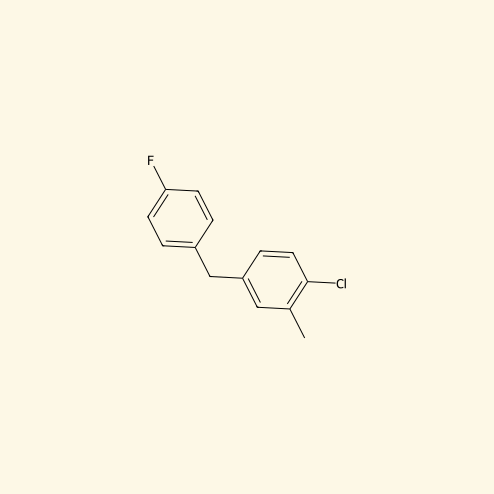 Cc1cc(Cc2ccc(F)cc2)ccc1Cl